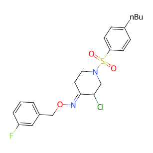 CCCCc1ccc(S(=O)(=O)N2CCC(=NOCc3cccc(F)c3)C(Cl)C2)cc1